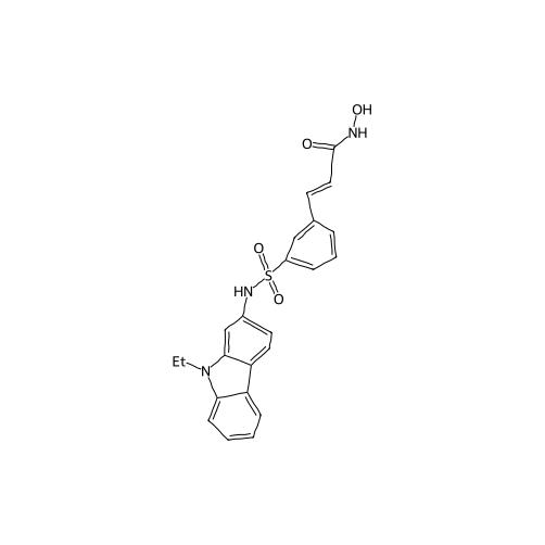 CCn1c2ccccc2c2ccc(NS(=O)(=O)c3cccc(/C=C/C(=O)NO)c3)cc21